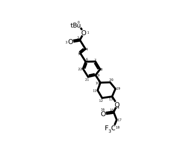 CC(C)(C)OC(=O)/C=C/c1ccc(C2CCC(OC(=O)CC(F)(F)F)CC2)cc1